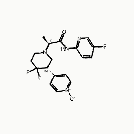 C[C@@H](C(=O)Nc1ccc(F)cn1)N1CCC(F)(F)[C@@H](c2cc[n+]([O-])cc2)C1